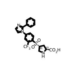 O=C(O)[C@@H]1C[C@@H](S(=O)(=O)c2ccc(-n3ccnc3-c3ccccc3)cc2C(F)(F)F)CN1